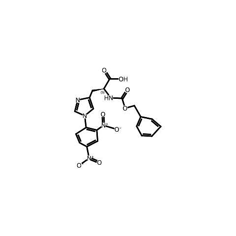 O=C(N[C@@H](Cc1cn(-c2ccc([N+](=O)[O-])cc2[N+](=O)[O-])cn1)C(=O)O)OCc1ccccc1